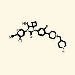 N#Cc1ncc(N2C(=N)C3(CCC3)N(c3ccc(C4CCN(CC5CCNCC5)CC4)c(F)c3)C2=S)cc1Cl